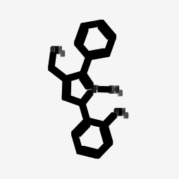 CCC1=CC(c2ccccc2C)[N+](C)=C1c1ccccc1